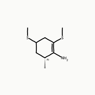 CSC1=C(N)[C@H](C)CC(SC)C1